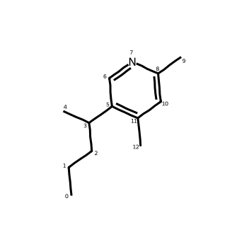 CCCC(C)c1cnc(C)cc1C